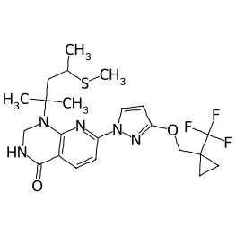 CSC(C)CC(C)(C)N1CNC(=O)c2ccc(-n3ccc(OCC4(C(F)(F)F)CC4)n3)nc21